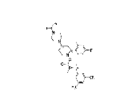 Cc1cc(F)ccc1[C@H]1C[C@H](N2CCN(C(=O)C(C)C)CC2)CCN1OC(=O)N(C)[C@H](C)c1cc(C(F)(F)F)cc(C(F)(F)F)c1